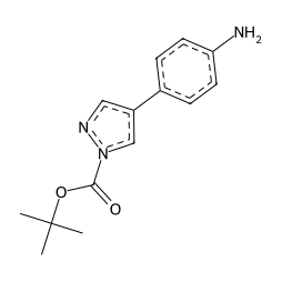 CC(C)(C)OC(=O)n1cc(-c2ccc(N)cc2)cn1